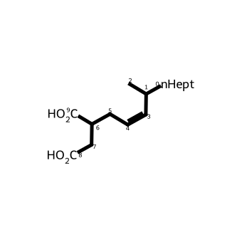 CCCCCCCC(C)/C=C\CC(CC(=O)O)C(=O)O